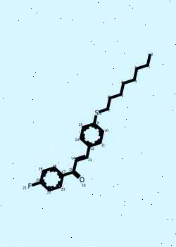 CCCCCCCCSc1ccc(C=CC(=O)c2ccc(F)cc2)cc1